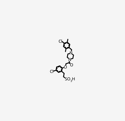 Cc1cc(CN2CCN(C(=O)COc3ccc(Cl)cc3CCS(=O)(=O)O)CC2)c(C)cc1Cl